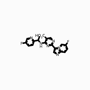 CC(Nc1nc(-c2cnc3ccc(F)cn23)ncc1C(=O)O)c1ccc(F)cn1